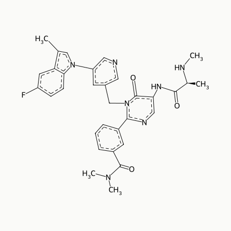 CN[C@@H](C)C(=O)Nc1cnc(-c2cccc(C(=O)N(C)C)c2)n(Cc2cncc(-n3cc(C)c4cc(F)ccc43)c2)c1=O